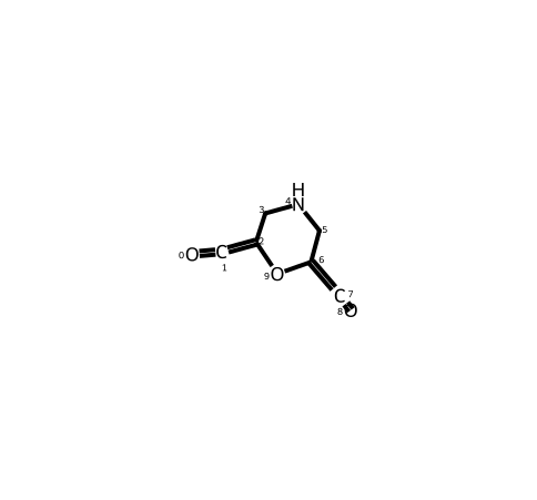 O=C=C1CNCC(=C=O)O1